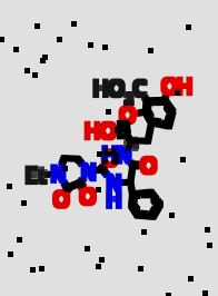 CCN1CCN(C(=O)NC(C(=O)N[C@H]2Cc3ccc(O)c(C(=O)O)c3OB2O)c2ccccc2)C(=O)C1=O